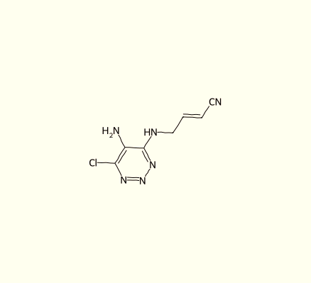 N#CC=CCNc1nnnc(Cl)c1N